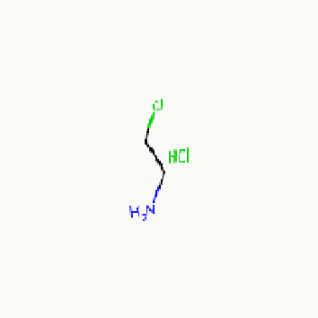 Cl.NCCCl